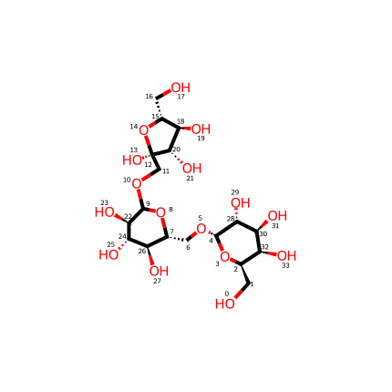 OC[C@H]1O[C@H](OC[C@H]2OC(OC[C@@]3(O)O[C@H](CO)[C@@H](O)[C@@H]3O)[C@H](O)[C@@H](O)[C@@H]2O)[C@H](O)[C@@H](O)[C@H]1O